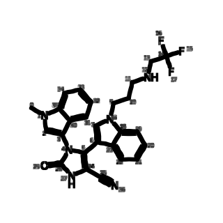 Cn1cc(-n2c(-c3cn(CCCNCC(F)(F)F)c4ccccc34)c(C#N)[nH]c2=O)c2ccccc21